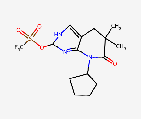 CC1(C)CC2=CNC(OS(=O)(=O)C(F)(F)F)N=C2N(C2CCCC2)C1=O